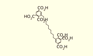 O=C(O)c1cc(CCCCCCCCCCc2cc(C(=O)O)cc(C(=O)O)c2C(=O)O)c(C(=O)O)c(C(=O)O)c1